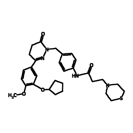 COc1ccc(C2=NN(Cc3ccc(NC(=O)CCN4CCSCC4)cc3)C(=O)CC2)cc1OC1CCCC1